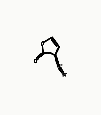 [N-]=[N+]=C1C=COC1=O